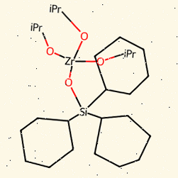 CC(C)[O][Zr]([O]C(C)C)([O]C(C)C)[O][Si](C1CCCCC1)(C1CCCCC1)C1CCCCC1